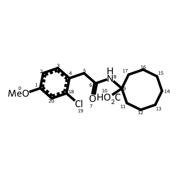 COc1ccc(CC(=O)NC2(C(=O)O)CCCCCCC2)c(Cl)c1